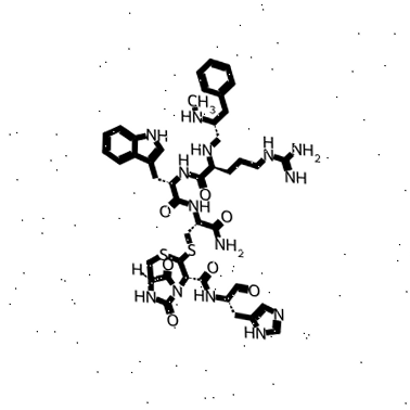 CN[C@@H](CN[C@@H](CCCNC(=N)N)C(=O)N[C@@H](Cc1c[nH]c2ccccc12)C(=O)N[C@@H](CSC1SC[C@@H]2NC(=O)N(C2=O)[C@H]1C(=O)N[C@H](C=O)Cc1cnc[nH]1)C(N)=O)Cc1ccccc1